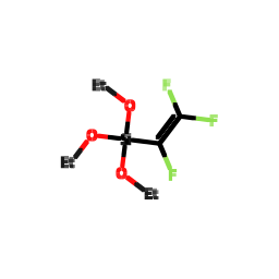 CCO[Si](OCC)(OCC)C(F)=C(F)F